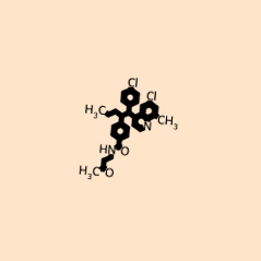 CCCC(c1ccc(C(=O)NCCC(C)=O)cc1)C(c1ccc(Cl)cc1)c1ccnc2c(C)cc(Cl)cc12